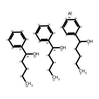 CCCCC(O)c1ccccc1.CCCCC(O)c1ccccc1.CCCCC(O)c1ccccc1.[Al]